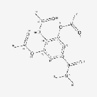 CC(=O)Oc1cc(C(=O)N(C)C)cc(OC(C)=O)c1OC(C)=O